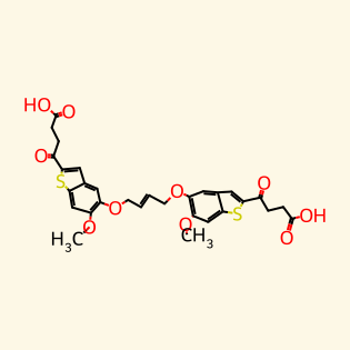 COc1cc2sc(C(=O)CCC(=O)O)cc2cc1OC/C=C/COc1cc2cc(C(=O)CCC(=O)O)sc2cc1OC